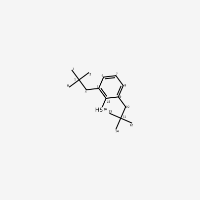 CC(C)(C)Cc1cccc(CC(C)(C)C)c1S